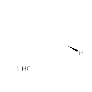 CC1(C)[C@@H]2CC[C@]1(C)C(C=O)C2